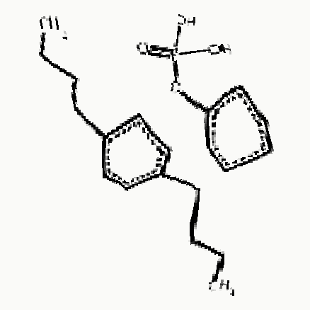 CCCCc1ccc(CCCC)cc1.O=P(O)(O)Oc1ccccc1